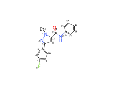 CCn1nc(-c2ccc(F)cc2)cc1C(=O)Nc1ccccc1